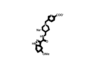 COc1ccc2[nH]nc(C(=O)NCC3CCN(Cc4ccc(C(=O)[O-])nc4)CC3)c2c1.[Na+]